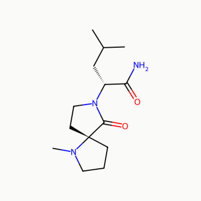 CC(C)C[C@H](C(N)=O)N1CC[C@]2(CCCN2C)C1=O